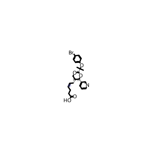 CC(C)(Oc1ccc(Br)cc1)[C@H]1OC[C@@H](C/C=C\CCC(=O)O)[C@@H](c2cccnc2)O1